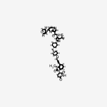 Cn1c(=O)n([C@H]2CCC(=O)NC2=O)c2cccc(C#CCOC3CCN(C[C@H]4CC[C@H](n5cc(NC(=O)c6cnn7ccc(N8C[C@H]9C[C@@H]8CO9)nc67)c(C(F)F)n5)CC4)CC3)c21